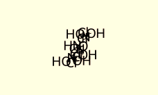 O=C1NC(CCCCN(CC(O)Cl)CC(O)Cl)C(=O)N(CC(O)Cl)C1CCCCN(CC(O)Cl)CC(O)Cl